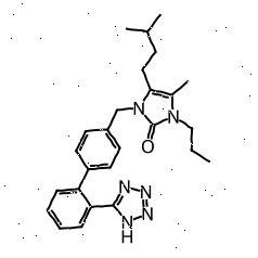 CCCn1c(C)c(CCC(C)C)n(Cc2ccc(-c3ccccc3-c3nnn[nH]3)cc2)c1=O